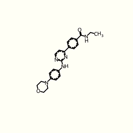 CCNC(=O)c1ccc(-c2ccnc(Nc3ccc(N4CCOCC4)cc3)n2)cc1